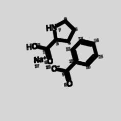 O=C(O)C1CCCN1.O=C([O-])c1ccccc1.[Na+]